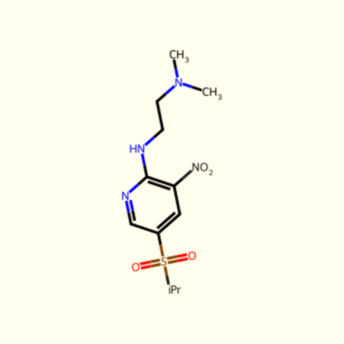 CC(C)S(=O)(=O)c1cnc(NCCN(C)C)c([N+](=O)[O-])c1